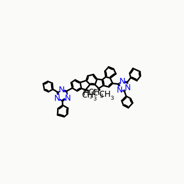 CC1(C)c2cc(-c3nc(-c4ccccc4)nc(-c4ccccc4)n3)ccc2-c2ccc3c(c21)C(C)(C)c1cc(-c2nc(-c4ccccc4)nc(-c4ccccc4)n2)c2ccccc2c1-3